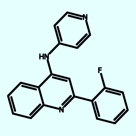 Fc1ccccc1-c1cc(Nc2ccncc2)c2ccccc2n1